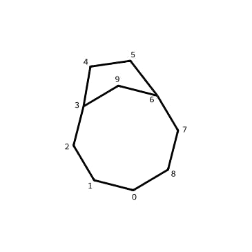 C1CCC2CCC(CC1)C2